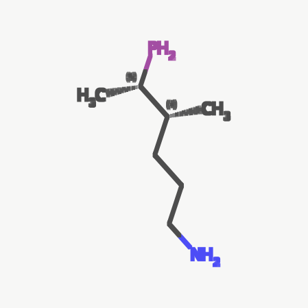 C[C@H](P)[C@H](C)CCCN